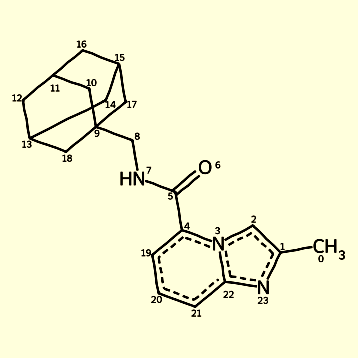 Cc1cn2c(C(=O)NCC34CC5CC(CC(C5)C3)C4)cccc2n1